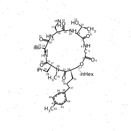 CCCCCC[C@H]1OC(=O)CNC(=O)[C@H]([C@H](C)O)NC(=O)[C@H](CN)NC(=O)[C@H]([C@H](C)CC)NC(=O)[C@H](CC(C)C)N(C)C(=O)[C@@H]1CCCc1ccc(C)cc1